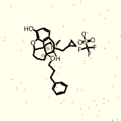 C[N+]1(CC2CC2)CC[C@]23c4c5ccc(O)c4OC2CCC[C@@]3(OCCCc2ccccc2)[C@H]1C5.O=S(=O)([O-])C(F)(F)F